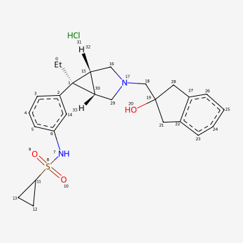 CC[C@]1(c2cccc(NS(=O)(=O)C3CC3)c2)[C@@H]2CN(CC3(O)Cc4ccccc4C3)C[C@@H]21.Cl